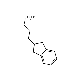 CCOC(=O)CCCC1Cc2ccccc2C1